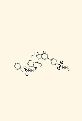 NS(=O)(=O)c1ccc(-c2cnc3[nH]cc(C(=O)c4c(F)ccc(NS(=O)(=O)Cc5ccccc5)c4F)c3c2)cc1